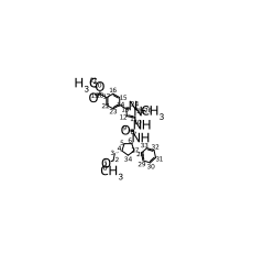 COCC[C@@H]1C[C@@H](NC(=O)Nc2cc(-c3ccc(C(=O)OC)cc3)nn2C)[C@H](c2ccccc2)C1